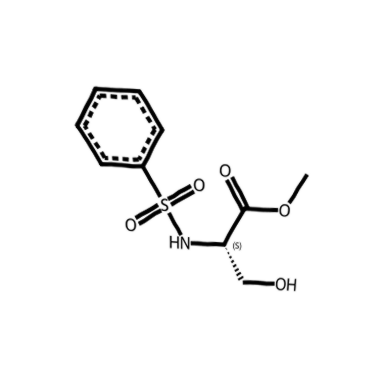 COC(=O)[C@H](CO)NS(=O)(=O)c1ccccc1